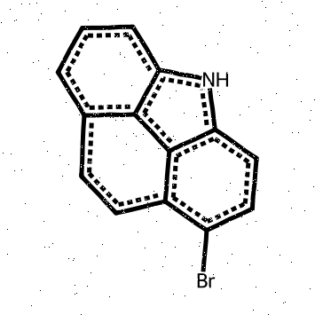 Brc1ccc2[nH]c3cccc4ccc1c2c43